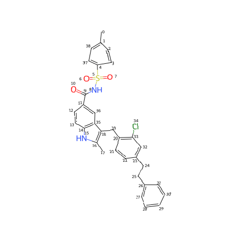 Cc1ccc(S(=O)(=O)NC(=O)c2ccc3[nH]c(C)c(Cc4ccc(CCc5ccccc5)cc4Cl)c3c2)cc1